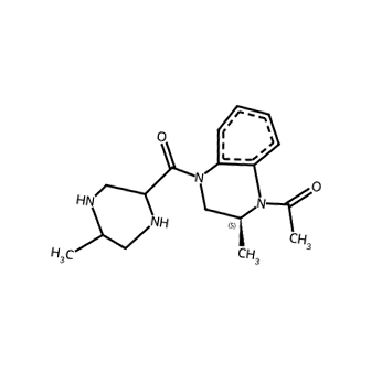 CC(=O)N1c2ccccc2N(C(=O)C2CNC(C)CN2)C[C@@H]1C